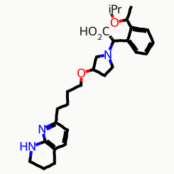 CC(C)OC(C)c1ccccc1C(C(=O)O)N1CCC(OCCCCc2ccc3c(n2)NCCC3)C1